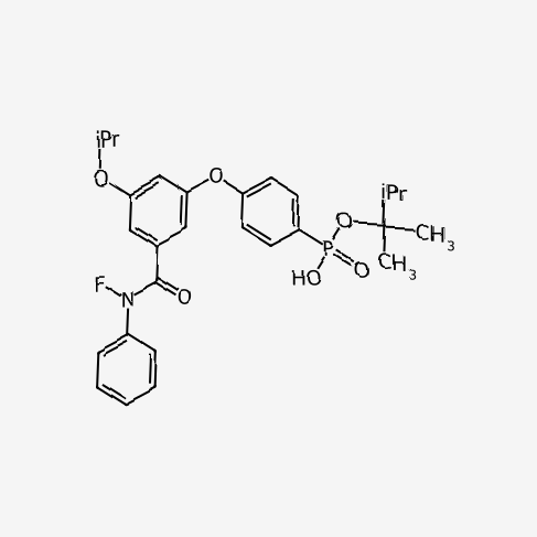 CC(C)Oc1cc(Oc2ccc(P(=O)(O)OC(C)(C)C(C)C)cc2)cc(C(=O)N(F)c2ccccc2)c1